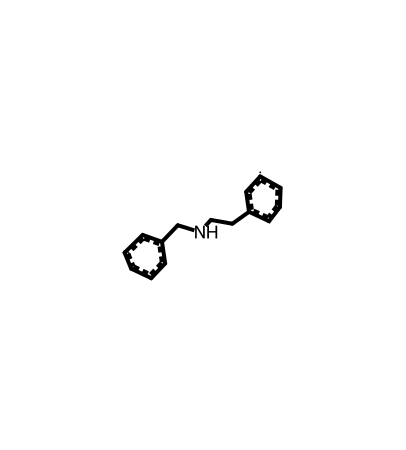 [c]1cccc(CCNCc2ccccc2)c1